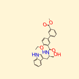 CCOc1ccc(-c2cccc(C(=O)OC)c2)cc1C(=O)N[C@@H](CO)Cc1c[nH]c2ccccc12